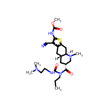 CCCN(C(=O)NCCN(C)C)C(=O)[C@@H]1C[C@@H]2Cc3c(sc(NC(=O)OC)c3C#N)C[C@H]2N(C)C1